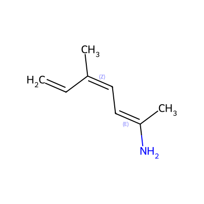 C=C/C(C)=C\C=C(/C)N